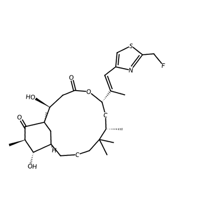 C/C(=C\c1csc(CF)n1)[C@@H]1C[C@H](C)C(C)(C)CCC[C@@H]2C[C@@](C)(C(=O)[C@H](C)[C@H]2O)[C@@H](O)CC(=O)O1